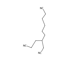 N#CCCCCCC(CC#N)CCC#N